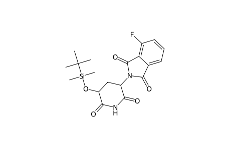 CC(C)(C)[Si](C)(C)OC1CC(N2C(=O)c3cccc(F)c3C2=O)C(=O)NC1=O